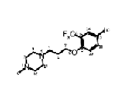 CN1CCN(CCCOc2ccc(I)cc2C(F)(F)F)CC1